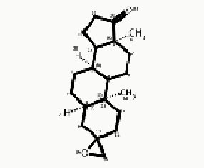 C[C@]12CCC3[C@@H](CC[C@@H]4CC5(CC[C@]34C)CO5)C1CCC2=O